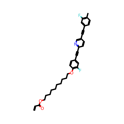 C=CC(=O)OCCCCCCCCCCOc1ccc(C#Cc2ccc(C#Cc3ccc(C)c(F)c3)cn2)cc1F